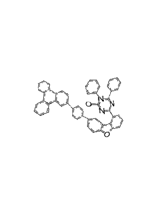 O=c1nc(-c2cccc3oc4ccc(-c5ccc(-c6ccc7c8ccccc8c8ccccc8c7c6)cc5)cc4c23)nc(-c2ccccc2)n1-c1ccccc1